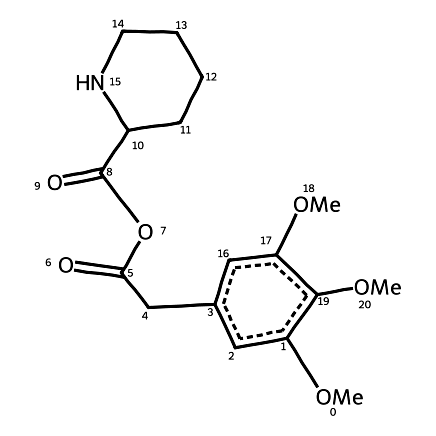 COc1cc(CC(=O)OC(=O)C2CCCCN2)cc(OC)c1OC